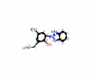 CCCCCCCCCCCc1cc(CC)cc(-n2nc3ccccc3n2)c1O